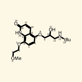 COCCOc1ccc(OCC(O)CNC(C)(C)C)c2ccc(=O)[nH]c12